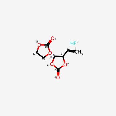 C=CC1COC(=O)O1.F.O=C1OCCO1